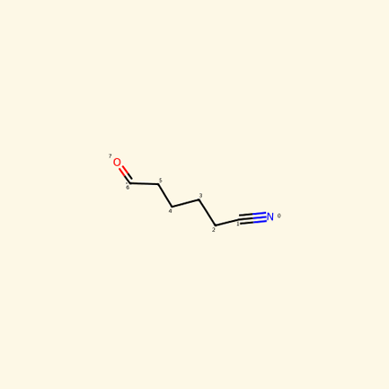 N#CCCCC[C]=O